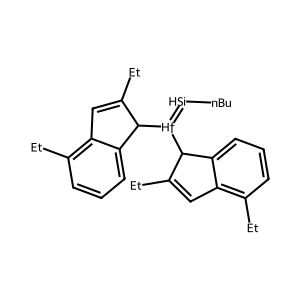 CCCC[SiH]=[Hf]([CH]1C(CC)=Cc2c(CC)cccc21)[CH]1C(CC)=Cc2c(CC)cccc21